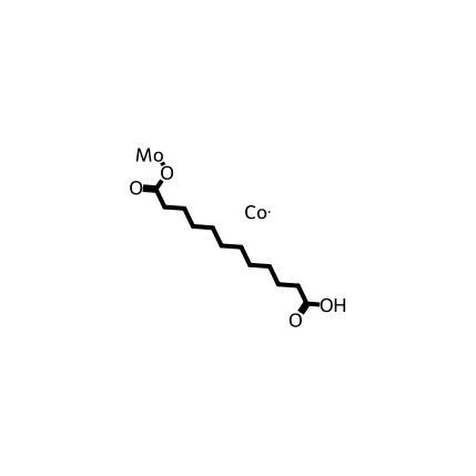 O=C(O)CCCCCCCCCCC(=O)[O][Mo].[Co]